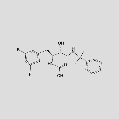 CC(C)(NC[C@@H](O)[C@H](Cc1cc(F)cc(F)c1)NC(=O)O)c1ccccc1